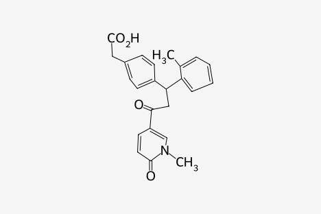 Cc1ccccc1C(CC(=O)c1ccc(=O)n(C)c1)c1ccc(CC(=O)O)cc1